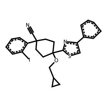 N#CC1(c2ccccc2I)CCC(OCC2CC2)(c2nc(-c3ccccc3)cs2)CC1